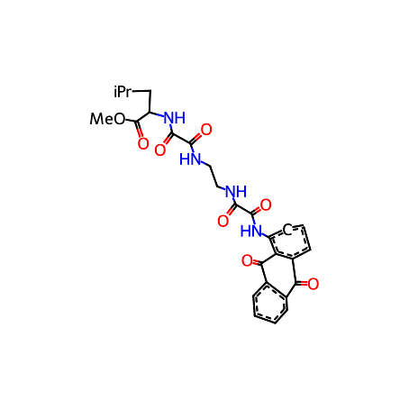 COC(=O)C(CC(C)C)NC(=O)C(=O)NCCNC(=O)C(=O)Nc1cccc2c1C(=O)c1ccccc1C2=O